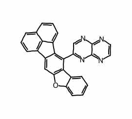 c1cc2c3c(cccc3c1)-c1c-2cc2oc3ccccc3c2c1-c1cnc2nccnc2n1